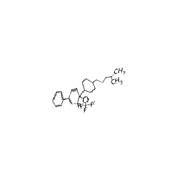 CC(C)CCCC1CCC(C2(OC(F)(F)F)C=CC(c3ccccc3)=CC2F)CC1